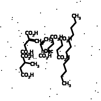 C=C(CC(=O)O)C(=O)O.C=CCCCCCCCCCC.CC(CC(=O)O)C(=O)O.CCCCCCCCCCCC.O=C(O)CCC(=O)O.O=C(O)CCC(=O)O